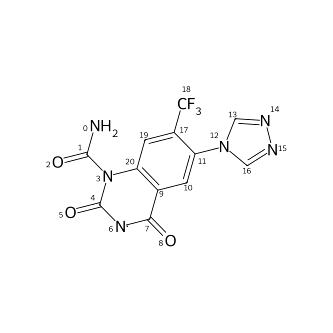 NC(=O)N1C(=O)[N]C(=O)c2cc(-n3cnnc3)c(C(F)(F)F)cc21